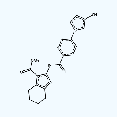 COC(=O)c1c(NC(=O)c2ccc(-n3ccc(C#N)c3)nn2)sc2c1CCCC2